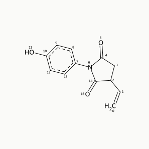 C=CC1CC(=O)N(c2ccc(O)cc2)C1=O